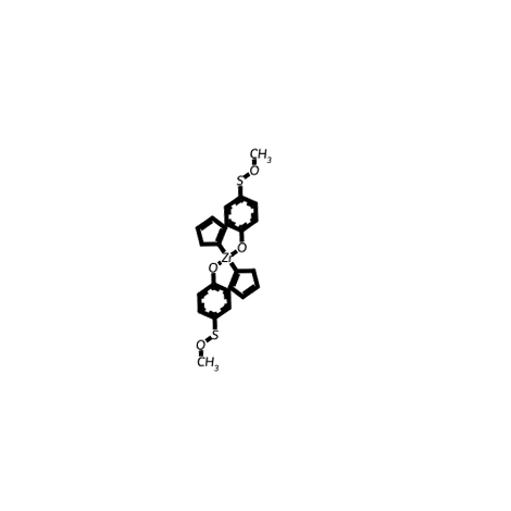 COSc1ccc([O][Zr]([O]c2ccc(SOC)cc2)([C]2=CC=CC2)[C]2=CC=CC2)cc1